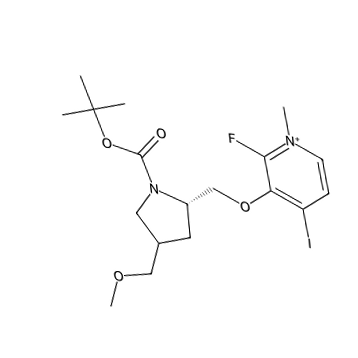 COCC1C[C@@H](COc2c(I)cc[n+](C)c2F)N(C(=O)OC(C)(C)C)C1